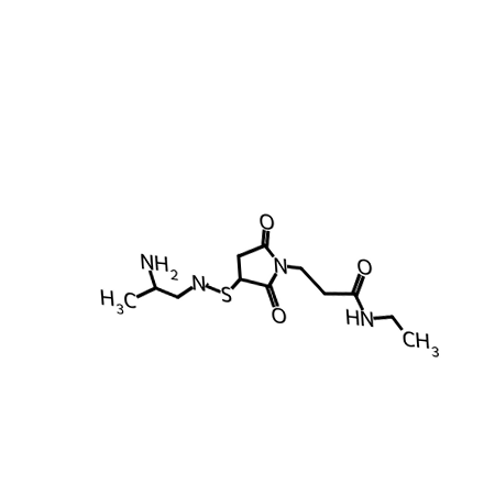 CCNC(=O)CCN1C(=O)CC(S[N]CC(C)N)C1=O